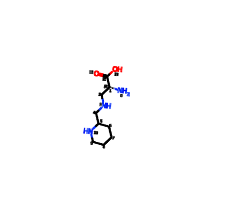 N[C@H](CNCC1CCCCN1)C(=O)O